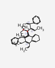 C=C/C(C1=CCCC=C1\C(C=C)=C(C=C)/C(=C/C)C(=C\C)/c1ccccc1)=C(\C=C)C1=CCCCC1c1ccccc1